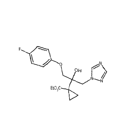 CCOC(=O)C1(C(O)(COc2ccc(F)cc2)Cn2cncn2)CC1